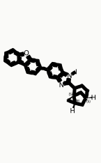 In1c(C2CC[C@H]3C[C@@H]4C[C@]24C3)nc2cc(-c3ccc4c(c3)oc3ccccc34)ccc21